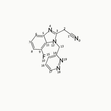 N#CCc1nc2cccc(F)c2n1Cc1cccnn1